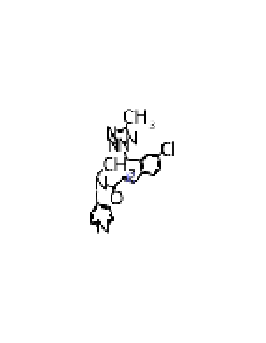 CCN(Cc1ccncc1)C(=O)/C=C/c1ccc(Cl)cc1Cn1nnc(C)n1